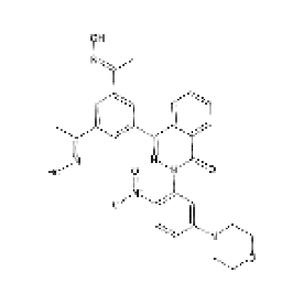 CC(=NO)c1cc(C(C)=NO)cc(-c2nn(-c3cc(N4CCOCC4)ccc3[N+](=O)[O-])c(=O)c3ccccc23)c1